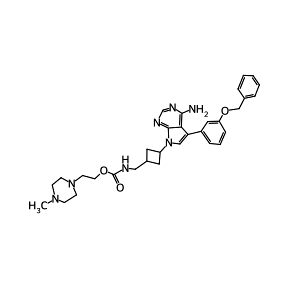 CN1CCN(CCOC(=O)NCC2CC(n3cc(-c4cccc(OCc5ccccc5)c4)c4c(N)ncnc43)C2)CC1